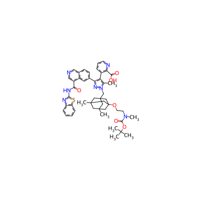 Cc1c(-c2cccnc2C(=O)O)c(-c2ccc3cncc(C(=O)Nc4nc5ccccc5s4)c3c2)nn1CC12CC3(C)CC(C)(C1)CC(OCCN(C)C(=O)OC(C)(C)C)(C3)C2